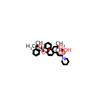 CC(C)(C)O[Si](Oc1ccc(C=CC(=O)N2CCCCC2)c(CC(C)(C)OC(=O)O)c1)(c1ccccc1)c1ccccc1